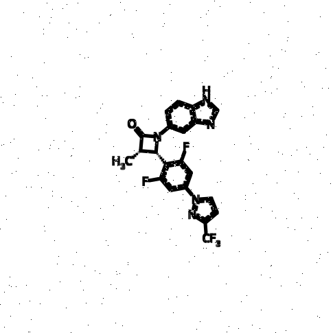 C[C@@H]1C(=O)N(c2ccc3[nH]cnc3c2)[C@@H]1c1c(F)cc(-n2ccc(C(F)(F)F)n2)cc1F